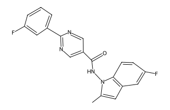 Cc1cc2cc(F)ccc2n1NC(=O)c1cnc(-c2cccc(F)c2)nc1